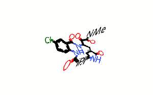 CNC(=O)C(=O)C(C[C@@H]1C[C@@H](C)NC1=O)NC(=O)c1cc(Cl)ccc1NC(=O)C(C)C